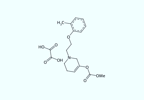 COC(=O)OC1=CCCN(CCOc2ccccc2C)C1.O=C(O)C(=O)O